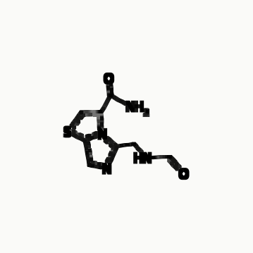 NC(=O)c1csc2cnc(CNC=O)n12